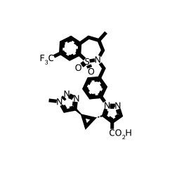 CC1Cc2ccc(C(F)(F)F)cc2S(=O)(=O)N(Cc2cccc(-n3ncc(C(=O)O)c3[C@@H]3C[C@H]3c3cn(C)nn3)c2)C1